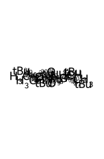 CC(CCC(COc1cccc(C2=C3C(=O)NC(c4cccc(OCC(CCC(C)CC(C)(C)C)C(C)CC(C)(C)C)c4)=C3C(=O)N2)c1)C(C)CC(C)(C)C)CC(C)(C)C